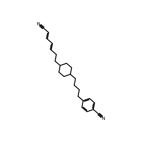 N#CC=CC=CCCC1CCC(CCCCc2ccc(C#N)cc2)CC1